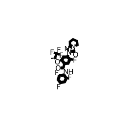 C[C@H](Oc1cc(-n2nc3n(c2=O)CCCC3)c(F)cc1C(=O)Nc1c(F)cc(F)cc1F)C(F)(F)F